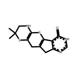 CC1(C)CNC2=C(CC3=C(S2)c2c(nc[nH]c2=O)C3)S1